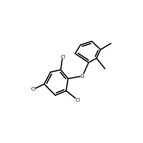 Cc1cccc(Oc2c(Cl)[c]c(Cl)cc2Cl)c1C